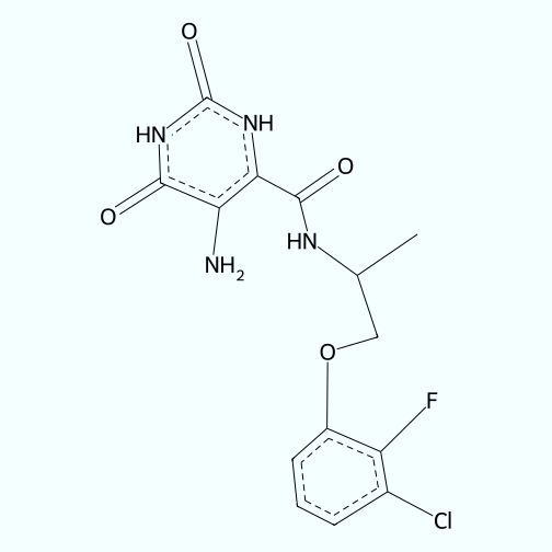 CC(COc1cccc(Cl)c1F)NC(=O)c1[nH]c(=O)[nH]c(=O)c1N